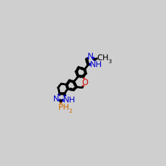 Cc1ncc(-c2ccc3c(c2)OCc2cc4c(cc2-3)CCc2nc(P)[nH]c2-4)[nH]1